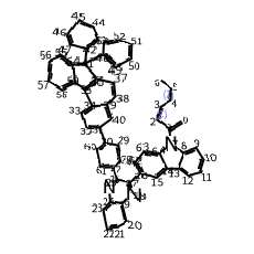 C=C(/C=C\C=C/C)n1c2ccccc2c2cc(-c3nc4ccccc4nc3-c3ccc(-c4ccc5c6c(ccc5c4)C(c4ccccc4)(c4ccccc4)c4ccccc4-6)cc3)ccc21